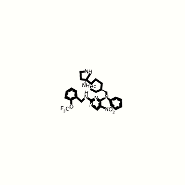 CC(=O)N[C@]1([C@H]2CC[C@H](CN(c3ccccc3)c3nc(NCc4ccccc4OC(F)(F)F)ncc3[N+](=O)[O-])CC2)CCNC1